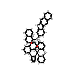 c1ccc2c(c1)Sc1ccc(N(c3ccc4c(c3)sc3cc5ccccc5cc34)c3cccc4ccccc34)cc1C21c2ccccc2-c2cccc3cccc1c23